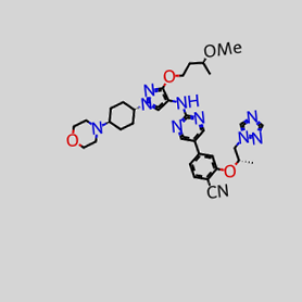 CO[C@@H](C)CCOc1nn([C@H]2CC[C@H](N3CCOCC3)CC2)cc1Nc1ncc(-c2ccc(C#N)c(O[C@@H](C)Cn3cncn3)c2)cn1